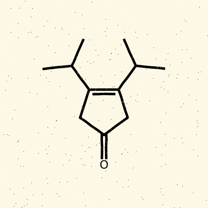 CC(C)C1=C(C(C)C)CC(=O)C1